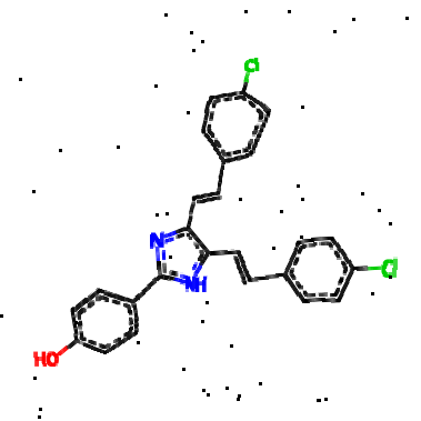 Oc1ccc(-c2nc(C=Cc3ccc(Cl)cc3)c(C=Cc3ccc(Cl)cc3)[nH]2)cc1